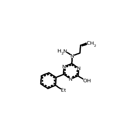 C=CCN(N)c1nc(O)nc(-c2ccccc2CC)n1